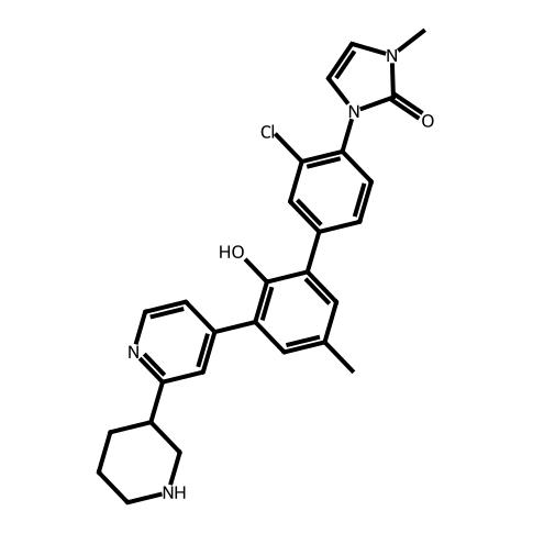 Cc1cc(-c2ccnc(C3CCCNC3)c2)c(O)c(-c2ccc(-n3ccn(C)c3=O)c(Cl)c2)c1